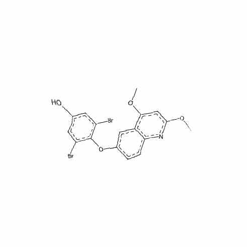 COc1cc(OC)c2cc(Oc3c(Br)cc(O)cc3Br)ccc2n1